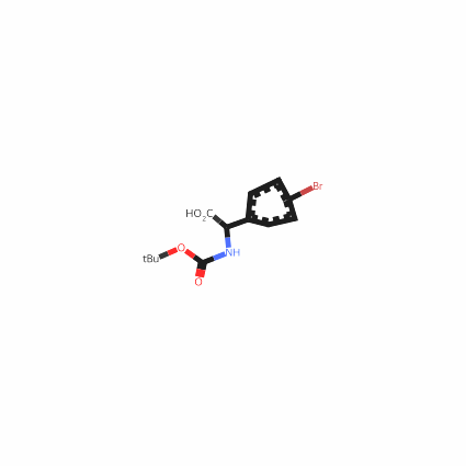 CC(C)(C)OC(=O)NC(C(=O)O)c1ccc(Br)cc1